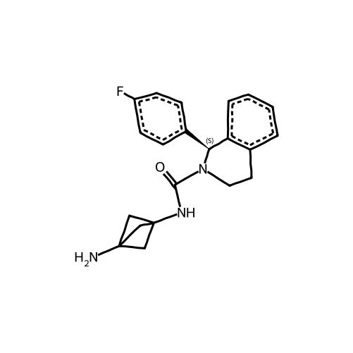 NC12CC(NC(=O)N3CCc4ccccc4[C@@H]3c3ccc(F)cc3)(C1)C2